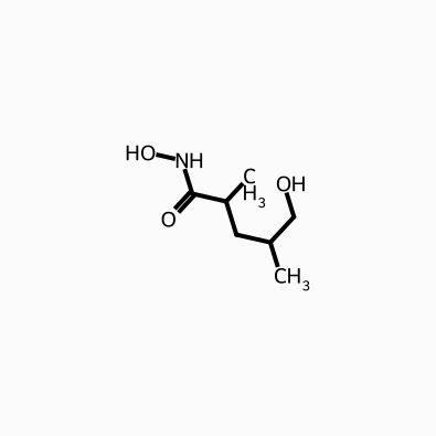 CC(CO)CC(C)C(=O)NO